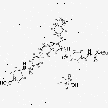 CC(C)(C)OC(=O)NC[C@H]1CC[C@H](C(=O)N[C@@H](Cc2cccc(-c3ccc(C(=O)NC4CCN(C(=O)O)CC4)cc3)c2)C(=O)Nc2ccc3cn[nH]c3c2)CC1.O=C(O)C(F)(F)F